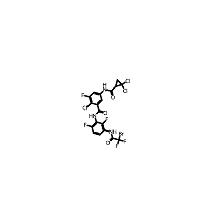 O=C(Nc1c(F)ccc(NC(=O)C(F)(F)Br)c1F)c1cc(NC(=O)C2CC2(Cl)Cl)cc(F)c1Cl